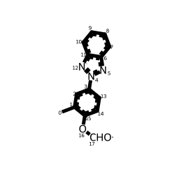 Cc1cc(-n2nc3ccccc3n2)ccc1O[C]=O